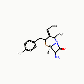 CC(=O)OC=C1C(Cc2ccc([N+](=O)[O-])cc2)S[C@@H]2C(N)C(=O)N2C1C(=O)O